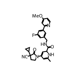 COc1ccnc(-c2cc(F)cc(CNC(=O)C3C=C(N4CCC(C#N)(C5CC5)C4=O)C=C(C)N3)c2)c1